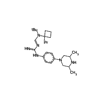 CC1CN(c2ccc(NC(=N)/N=C/N(C(C)(C)C)C3(C(C)C)CCC3)cc2)CC(C)N1